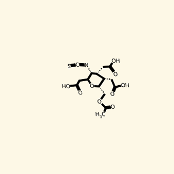 CC(=O)OC[C@@H]1OC(CC(=O)O)[C@H](N=C=S)[C@H](CC(=O)O)[C@@H]1CC(=O)O